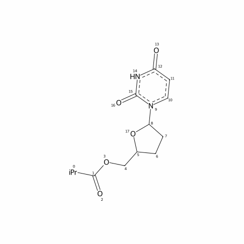 CC(C)C(=O)OCC1CCC(n2ccc(=O)[nH]c2=O)O1